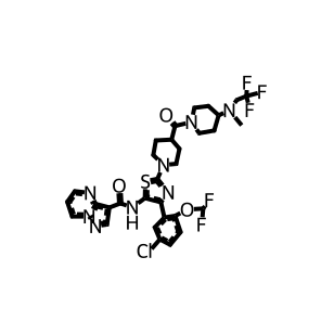 CN(CC(F)(F)F)C1CCN(C(=O)C2CCN(c3nc(-c4cc(Cl)ccc4OC(F)F)c(NC(=O)c4cnn5cccnc45)s3)CC2)CC1